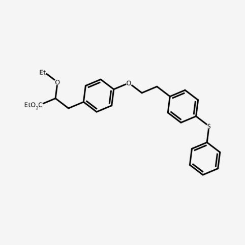 CCOC(=O)C(Cc1ccc(OCCc2ccc(Sc3ccccc3)cc2)cc1)OCC